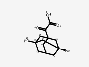 O=C(O)C(=O)C12CC3C[C@H](CC(O)(C3)C1)C2